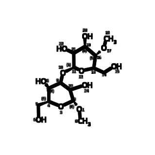 CO[C@@H]1O[C@@H](CO)[C@@H](O)C(O[C@@H]2OC(CO)[C@@H](OC)[C@H](O)C2O)C1O